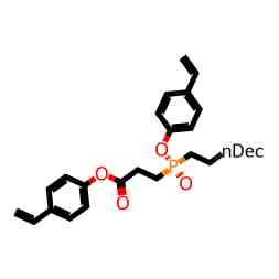 C=Cc1ccc(OC(=O)CCP(=O)(CCCCCCCCCCCC)Oc2ccc(C=C)cc2)cc1